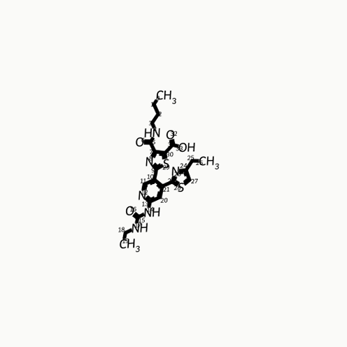 CCCCNC(=O)c1nc(-c2cnc(NC(=O)NCC)cc2-c2nc(CC)cs2)sc1C(=O)O